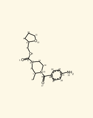 CC1CN(C(=O)OCC2CCCO2)CCN1C(=O)c1ccc(N)cc1